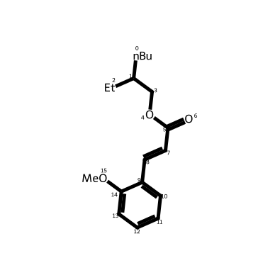 CCCCC(CC)COC(=O)C=Cc1ccccc1OC